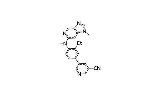 CCc1cc(-c2cncc(C#N)c2)ccc1N(C)c1cc2c(cn1)ncn2C